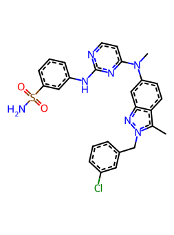 Cc1c2ccc(N(C)c3ccnc(Nc4cccc(S(N)(=O)=O)c4)n3)cc2nn1Cc1cccc(Cl)c1